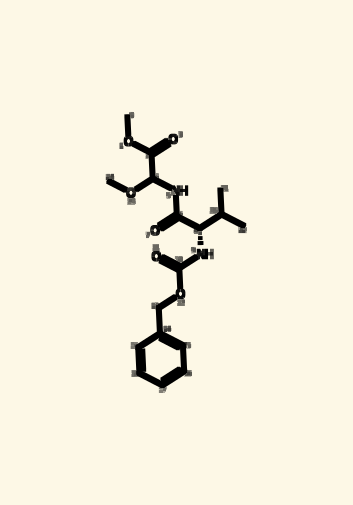 COC(=O)C(NC(=O)[C@@H](NC(=O)OCc1ccccc1)C(C)C)OC